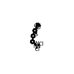 CC1(C)OB(c2ccc3c(c2)sc2cc(-c4cccc(-c5nc(Cl)nc(Cl)n5)c4)ccc23)OC1(C)C